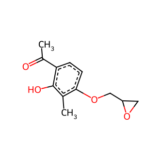 CC(=O)c1ccc(OCC2CO2)c(C)c1O